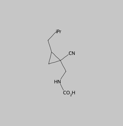 CC(C)CC1CC1(C#N)CNC(=O)O